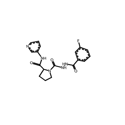 O=C(NNC(=O)N1CCCC1C(=O)Nc1cccnc1)c1cccc(F)c1